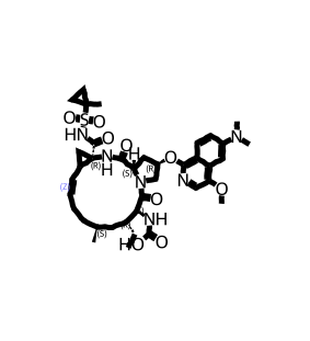 CC[C@@H]1C[C@@H](C)CC/C=C\C2C[C@@]2(C(=O)NS(=O)(=O)C2(C)CC2)NC(=O)[C@@H]2C[C@@H](Oc3ncc(OC)c4cc(N(C)C)ccc34)CN2C(=O)[C@H]1NC(=O)O